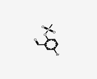 CS(=O)(=O)Oc1ccc(Br)cc1C=O